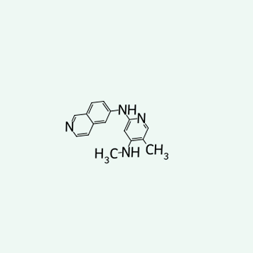 CNc1cc(Nc2ccc3cnccc3c2)ncc1C